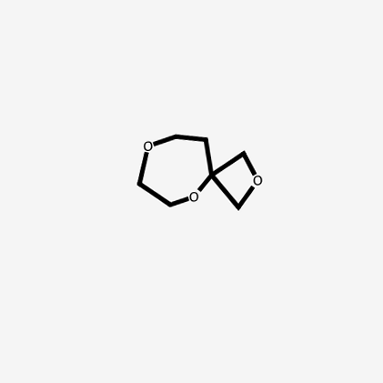 C1COC2(CCO1)COC2